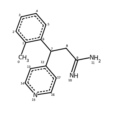 Cc1ccccc1[C](CC(=N)N)c1ccncc1